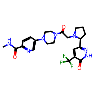 CNC(=O)c1ccc(N2CCN(C(=O)CN3CCCC3c3cc(C(F)(F)F)c(=O)[nH]n3)CC2)cn1